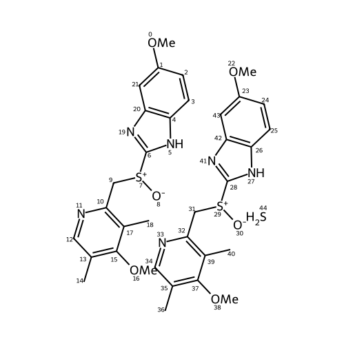 COc1ccc2[nH]c([S+]([O-])Cc3ncc(C)c(OC)c3C)nc2c1.COc1ccc2[nH]c([S+]([O-])Cc3ncc(C)c(OC)c3C)nc2c1.S